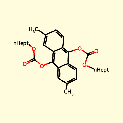 CCCCCCCOC(=O)Oc1c2ccc(C)cc2c(OC(=O)OCCCCCCC)c2cc(C)ccc12